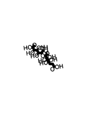 O=C(O)CCC(O)(O)C(O)(O)C(=O)O[C@@H](C(=O)O)[C@@H](O)[C@H](O)[C@H](O)C(=O)O